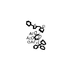 CC(=O)O[C@@H]1[C@@H](OC(C)=O)[C@H](c2ccc(Cl)c(Cc3ccc(-c4ccccc4)s3)c2)O[C@H](COC(c2ccccc2)(c2ccccc2)c2ccccc2)[C@H]1OC(C)=O